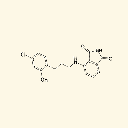 O=C1NC(=O)c2c(NCCCc3ccc(Cl)cc3O)cccc21